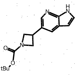 CC(C)(C)OC(=O)N1CC(c2cnc3[nH]ccc3c2)C1